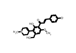 COc1cc(CO)c(C2=CCN(C)CC2)c(O)c1C(=O)/C=C/c1ccc(Cl)cc1